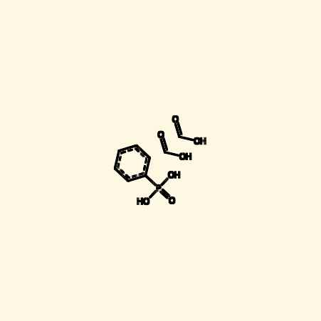 O=CO.O=CO.O=P(O)(O)c1ccccc1